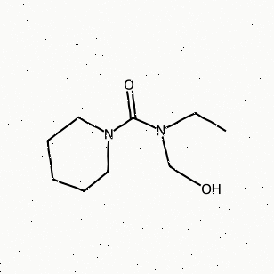 CCN(CO)C(=O)N1CCCCC1